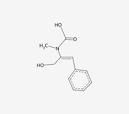 CN(C(=O)O)C(=Cc1ccccc1)CO